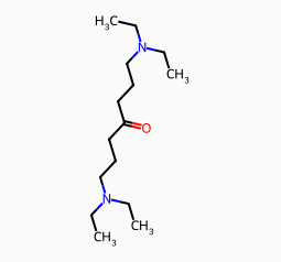 CCN(CC)CCCC(=O)CCCN(CC)CC